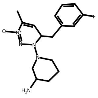 CC1=CC(Cc2cccc(F)c2)N(N2CCCC(N)C2)N=[N+]1[O-]